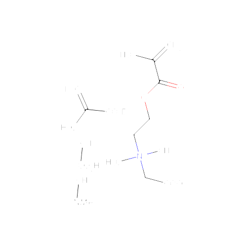 C=C(C)C(=O)OCC.C=C(C)C(=O)OCC[N+](C)(C)CC(=O)[O-].CC(=O)O.CNC